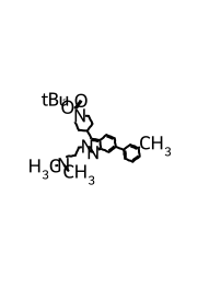 Cc1cccc(-c2ccc3c(C4CCN(C(=O)OC(C)(C)C)CC4)n(CCCN(C)C)nc3c2)c1